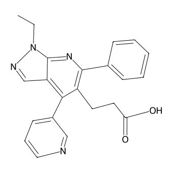 CCn1ncc2c(-c3cccnc3)c(CCC(=O)O)c(-c3ccccc3)nc21